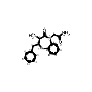 NC(=O)CN1C(=O)C(N)C(Cc2ccccc2)Sc2ccccc21